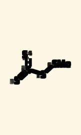 CSS[SH](=S)=S